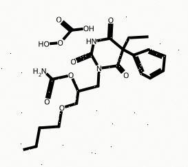 CCCCOCC(CN1C(=O)NC(=O)C(CC)(c2ccccc2)C1=O)OC(N)=O.O=C(O)OO